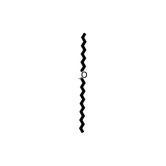 CCCCCCCCCCCCC[CH]OCCCCCCCCCC